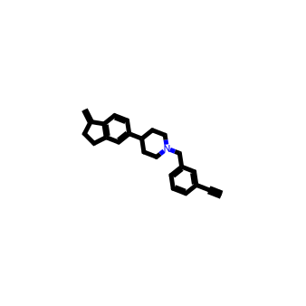 C#Cc1cccc(CN2CCC(c3ccc4c(c3)CCC4=C)CC2)c1